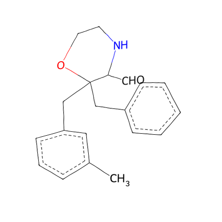 Cc1cccc(CC2(Cc3ccccc3)OCCNC2C=O)c1